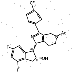 CC(=O)N1CCc2c(c(-c3ccc(C(F)(F)F)cc3)nn2[C@@H]2c3cc(F)cc(F)c3C[C@H]2O)C1